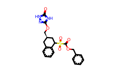 O=C(OCc1ccccc1)S(=O)(=O)C1C[C@H](COc2n[nH]c(=O)[nH]2)Cc2ccccc21